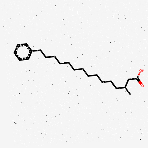 CC(CCCCCCCCCCCCc1ccccc1)CC(=O)O